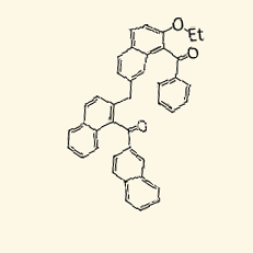 CCOc1ccc2ccc(Cc3ccc4ccccc4c3C(=O)c3ccc4ccccc4c3)cc2c1C(=O)c1ccccc1